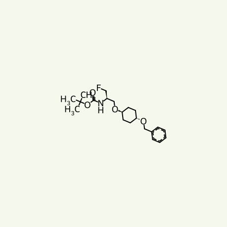 CC(C)(C)OC(=O)N[C@@H](CF)CO[C@H]1CC[C@H](OCc2ccccc2)CC1